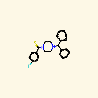 Fc1ccc(C(=S)N2CCN(C(c3ccccc3)c3ccccc3)CC2)cc1